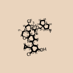 C[C@H]1COc2nc(-c3cc(O)cc(Cl)c3C3CC3)c(F)c3nc(OC[C@@]45CCCN4C[C@H](F)C5)nc(c23)N1C[C@@H](O)C(F)(F)F